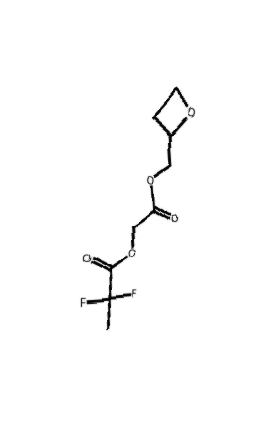 CC(F)(F)C(=O)OCC(=O)OCC1CCO1